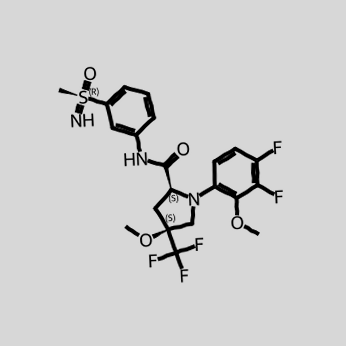 COc1c(N2C[C@](OC)(C(F)(F)F)C[C@H]2C(=O)Nc2cccc([S@](C)(=N)=O)c2)ccc(F)c1F